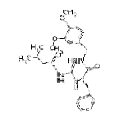 COc1ccc(CNC(=O)[C@@H](Cc2ccccc2)NC(=N)NC(=O)CC(C)C)cc1OC